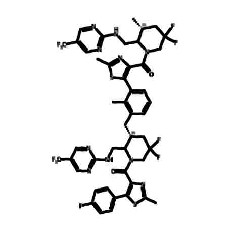 Cc1nc(C(=O)N2CC(F)(F)C[C@@H](Cc3cccc(-c4sc(C)nc4C(=O)N4CC(F)(F)C[C@@H](C)C4CNc4ncc(C(F)(F)F)cn4)c3C)C2CNc2ncc(C(F)(F)F)cn2)c(-c2ccc(F)cc2)s1